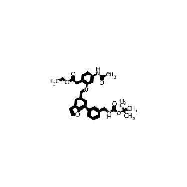 CCOC(=O)Cc1ccc(NC(C)=O)cc1OCc1cc(-c2cccc(CNC(=O)OC(C)(C)C)c2)c2occc2c1